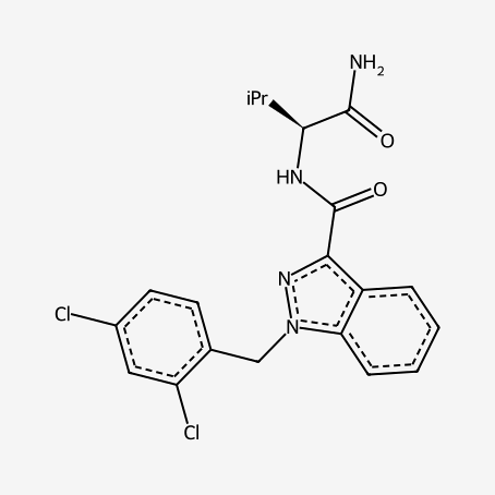 CC(C)[C@H](NC(=O)c1nn(Cc2ccc(Cl)cc2Cl)c2ccccc12)C(N)=O